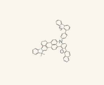 CC1(C)c2ccccc2-c2ccc(-c3ccc(-c4c(N(c5ccc(-c6ccccc6)cc5)c5ccc(-c6cccc7c6sc6ccccc67)cc5)ccc5c4oc4c6ccccc6ccc54)cc3)cc21